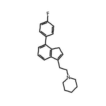 Fc1ccc(-c2cccc3c2CC=C3CCN2CCCCC2)cc1